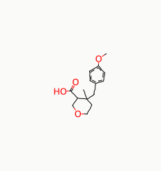 COc1ccc(CC2(C)CCOCC2C(=O)O)cc1